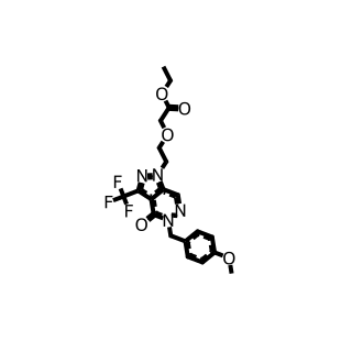 CCOC(=O)COCCn1nc(C(F)(F)F)c2c(=O)n(Cc3ccc(OC)cc3)ncc21